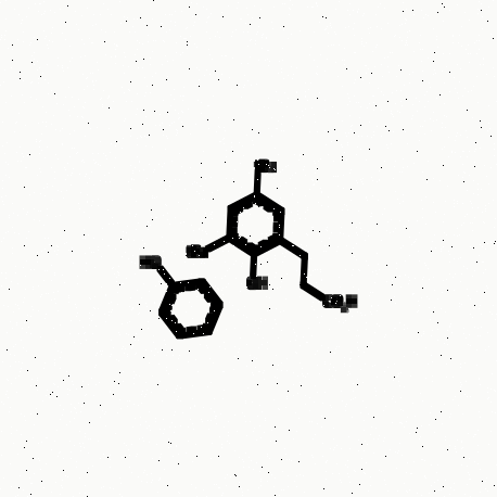 CC(C)(C)c1cc(CCC(=O)O)c(O)c(C(C)(C)C)c1.Oc1ccccc1